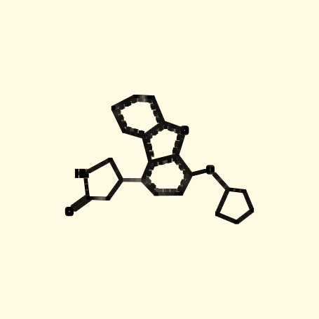 O=C1CC(c2ccc(OC3CCCC3)c3oc4ccccc4c23)CN1